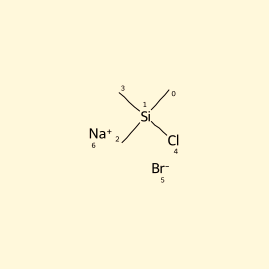 C[Si](C)(C)Cl.[Br-].[Na+]